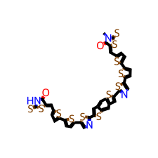 CN1C(=O)/C(=C/c2ccc(-c3ccc(-c4cnc(-c5cc6cc7sc(-c8ncc(-c9ccc(-c%10ccc(/C=C%11\SC(=S)NC%11=O)s%10)s9)s8)cc7cc6s5)s4)s3)s2)SC1=S